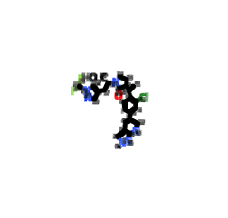 Cn1cc2cc(-c3ccc([C@@H]4C[C@]45CCN([C@H](Cc4cnn(C(F)F)c4)C(=O)O)C5=O)c(Cl)c3)cnc2n1